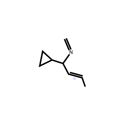 C=NC(/C=C/C)C1CC1